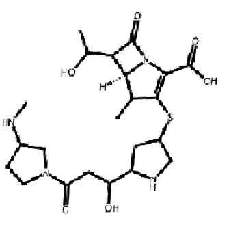 CNC1CCN(C(=O)CC(O)C2CC(SC3=C(C(=O)O)N4C(=O)C(C(C)O)[C@@H]4C3C)CN2)C1